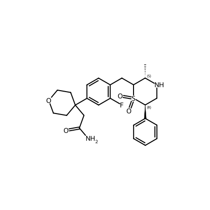 C[C@@H]1NC[C@@H](c2ccccc2)S(=O)(=O)C1Cc1ccc(C2(CC(N)=O)CCOCC2)cc1F